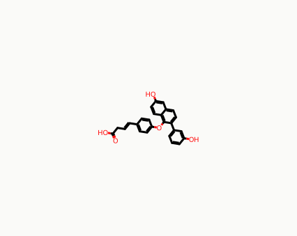 O=C(O)C/C=C/c1ccc(Oc2c(-c3cccc(O)c3)ccc3cc(O)ccc23)cc1